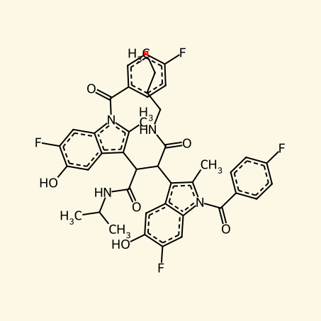 CCCCNC(=O)C(c1c(C)n(C(=O)c2ccc(F)cc2)c2cc(F)c(O)cc12)C(C(=O)NC(C)C)c1c(C)n(C(=O)c2ccc(F)cc2)c2cc(F)c(O)cc12